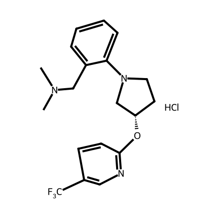 CN(C)Cc1ccccc1N1CC[C@H](Oc2ccc(C(F)(F)F)cn2)C1.Cl